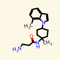 Cc1cccc2ccn(C3CCC(C)(NC(=O)CCN)CC3)c12